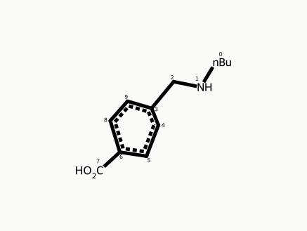 CCCCNCc1ccc(C(=O)O)cc1